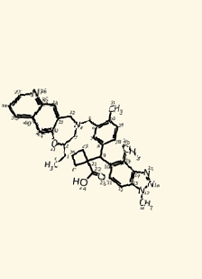 CC[C@@H]1CN(Cc2cc(C(c3ccc4c(nnn4C)c3C)C3(C(=O)O)CCC3)ccc2C)Cc2cc3ncccc3cc2O1